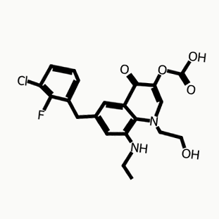 CCNc1cc(Cc2cccc(Cl)c2F)cc2c(=O)c(OC(=O)O)cn(CCO)c12